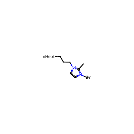 CCCCCCCCCC[n+]1ccn(C(C)C)c1C